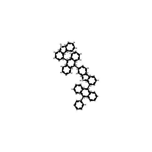 c1ccc(-c2c3ccccc3c(-c3cccc4c3sc3cc(-c5c6ccccc6c(-c6cccc7sc8ccccc8c67)c6ccccc56)ccc34)c3ccccc23)cc1